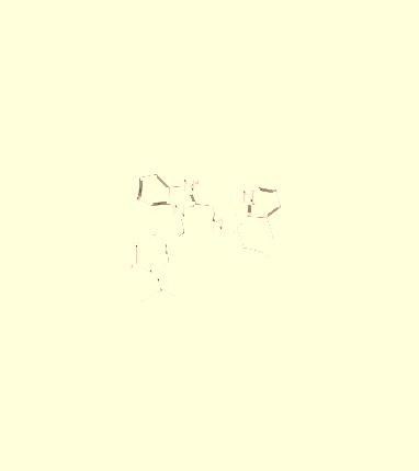 CC(C)N1CCC[C@@H](Cn2c(CN(C)[C@H]3CCCc4cccnc43)nc3ccccc32)C1